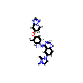 C=C1N(C)CCN1c1ccc2ncnc(Nc3ccc(Oc4ccn5ncnc5c4)c(C)c3)c2c1